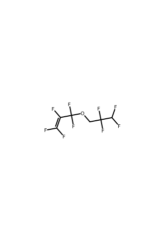 FC(F)=C(F)C(F)(F)OCC(F)(F)C(F)F